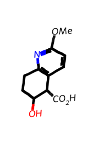 COc1ccc2c(n1)CCC(O)C2C(=O)O